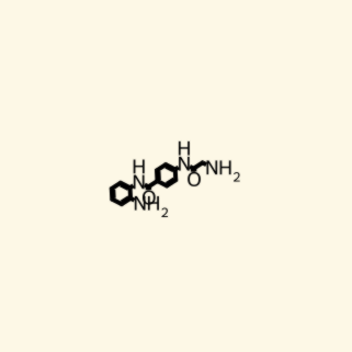 NCC(=O)Nc1ccc(C(=O)Nc2ccccc2N)cc1